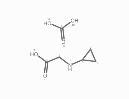 O=C(O)CNC1CC1.O=C(O)O